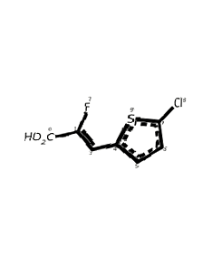 O=C(O)C(F)=Cc1ccc(Cl)s1